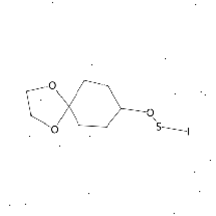 ISOC1CCC2(CC1)OCCO2